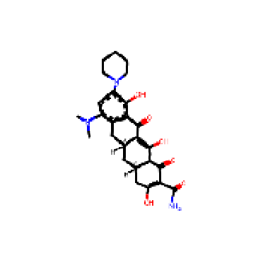 CN(C)c1cc(N2CCCCC2)c(O)c2c1C[C@H]1C[C@H]3CC(O)=C(C(N)=O)C(=O)C3C(O)=C1C2=O